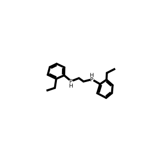 CCc1ccccc1PCCPc1ccccc1CC